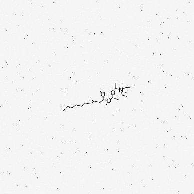 CCCCCCCCCC(=O)OC(C)OC(C)N(CC)CC